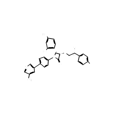 N#Cc1cncc(-c2ccc(N3C(=O)[C@H](SC[C@H](O)c4ccc(Cl)cc4)[C@H]3c3ccc(O)cc3O)cc2)c1